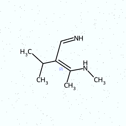 CN/C(C)=C(\C=N)C(C)C